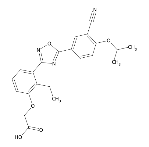 CCc1c(OCC(=O)O)cccc1-c1noc(-c2ccc(OC(C)C)c(C#N)c2)n1